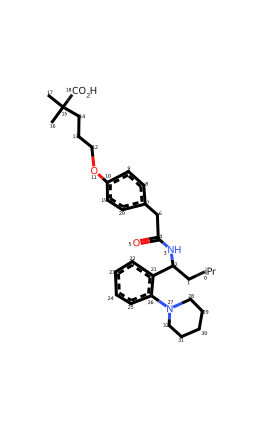 CC(C)CC(NC(=O)Cc1ccc(OCCCC(C)(C)C(=O)O)cc1)c1ccccc1N1CCCCC1